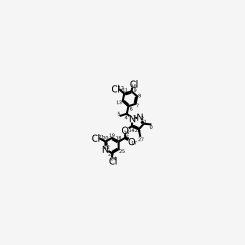 Cc1nn(C(C)c2ccc(Cl)c(Cl)c2)c(OC(=O)c2cc(Cl)nc(Cl)c2)c1C